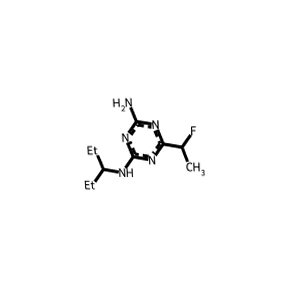 CCC(CC)Nc1nc(N)nc(C(C)F)n1